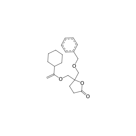 C=C(OCC1(COCc2ccccc2)CCC(=O)O1)C1CCCCC1